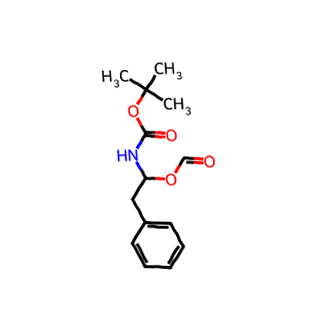 CC(C)(C)OC(=O)NC(Cc1ccccc1)OC=O